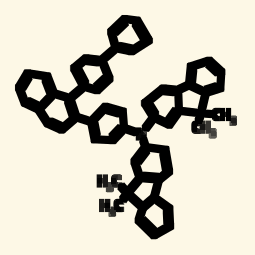 CC1(C)c2ccccc2-c2ccc(N(c3ccc(-c4ccc5ccccc5c4-c4ccc(-c5ccccc5)cc4)cc3)c3ccc4c(c3)C(C)(C)C3C=CC=CC43)cc21